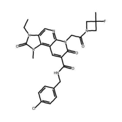 CCn1c(=O)n(C)c2c3cc(C(=O)NCc4ccc(Cl)cc4)c(=O)n(CC(=O)N4CC(C)(F)C4)c3ncc21